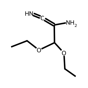 CCOC(OCC)C(N)=C=N